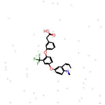 C=Nc1ccc(Oc2ccc(Oc3cccc(CC(=O)O)c3)c(C(F)(F)F)c2)cc1/C=C\C